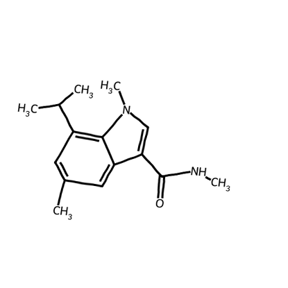 CNC(=O)c1cn(C)c2c(C(C)C)cc(C)cc12